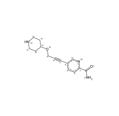 NC(=O)c1ccc(C#CCOC2CCNCC2)cn1